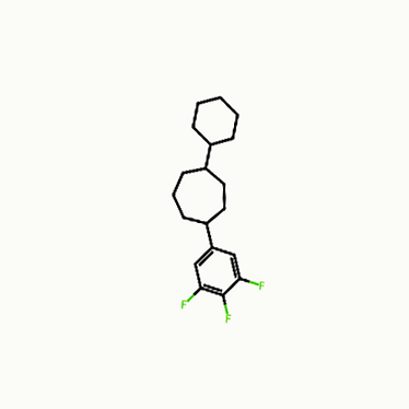 Fc1cc(C2CCCC(C3CCCCC3)CC2)cc(F)c1F